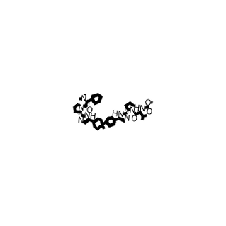 COC(=O)N[C@H](C(=O)N1CCC[C@H]1c1ncc(-c2ccc(C3(C)CC=C(c4cnc([C@@H]5CCCN5C(=O)[C@@H](c5ccccc5)N(C)C)[nH]4)CC3)cc2)[nH]1)C(C)C